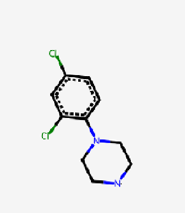 Clc1ccc(N2CC[N]CC2)c(Cl)c1